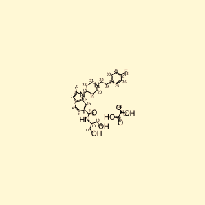 Cc1cc2ccc(C(=O)NC(CO)CO)cc2n1C1CCN(CCc2ccc(F)cc2)CC1.O=C(O)C(=O)O